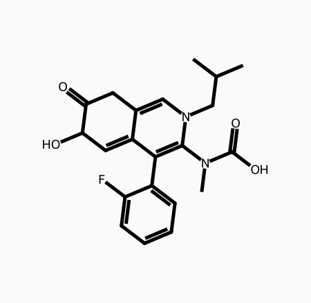 CC(C)CN1C=C2CC(=O)C(O)C=C2C(c2ccccc2F)=C1N(C)C(=O)O